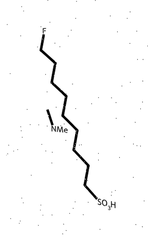 CNC.O=S(=O)(O)CCCCCCCCCF